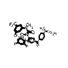 CN(C(=O)N(C)[C@@H]1CN(C(=O)[C@H]2CC[C@H](N(C)C(=O)O)CC2)C[C@H]1c1ccc(F)cc1F)c1cc(C(F)(F)F)cc(C(F)(F)F)c1